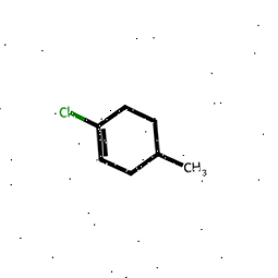 CC1C[C]=C(Cl)CC1